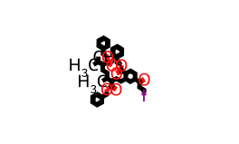 CC(C)C(CCC(C)C(CCC1CC(C(=O)CCI)CCC1C(=O)OCc1ccccc1)C(=O)OCc1ccccc1)C(=O)OCc1ccccc1